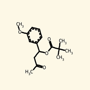 COc1cccc(C(CC(C)=O)OC(=O)C(C)(C)C)c1